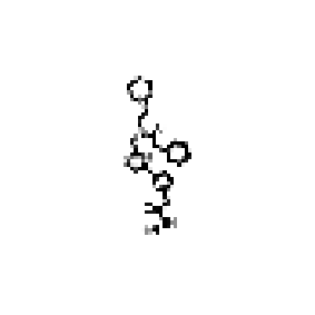 O=C(Cc1ccc(-c2csc(CN(CCN3CCCCC3)C(=O)Cc3ccccc3)n2)s1)NO